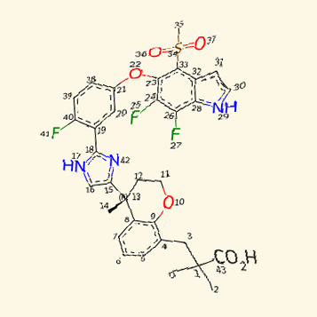 CC(C)(Cc1cccc2c1OCC[C@@]2(C)c1c[nH]c(-c2cc(Oc3c(F)c(F)c4[nH]ccc4c3S(C)(=O)=O)ccc2F)n1)C(=O)O